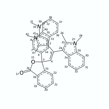 Cc1c(C(=CC2(c3ccc(N(C)C)cc3)OC(=O)c3ccccc32)c2c(C)n(C)c3ccccc23)c2ccccc2n1C